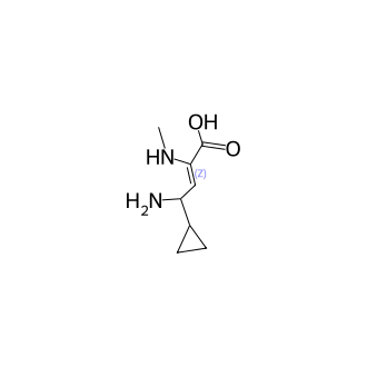 CN/C(=C\C(N)C1CC1)C(=O)O